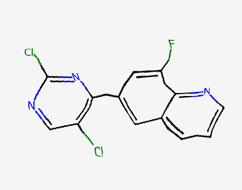 Fc1cc(-c2nc(Cl)ncc2Cl)cc2cccnc12